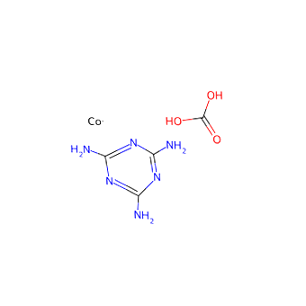 Nc1nc(N)nc(N)n1.O=C(O)O.[Co]